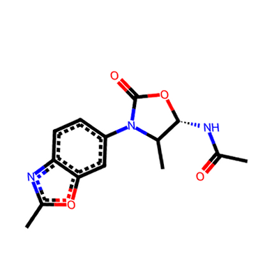 CC(=O)N[C@H]1OC(=O)N(c2ccc3nc(C)oc3c2)C1C